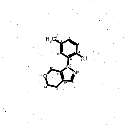 Cc1ccc(Cl)c(-n2ncc3c2COCC3)c1